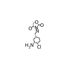 Nc1cc(/C=N/N2C(=O)COC2=O)ccc1Cl